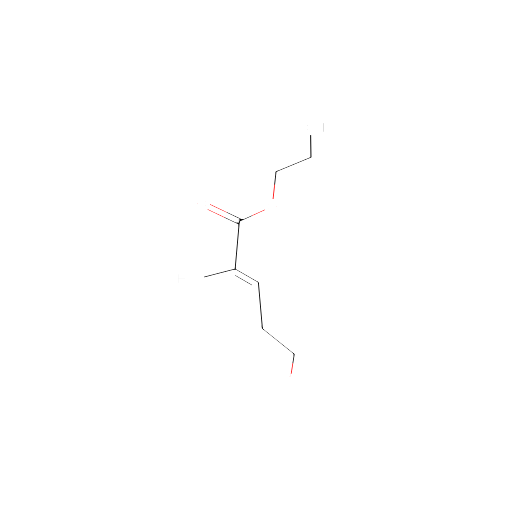 CCCOC(=O)C(C)=CCCO